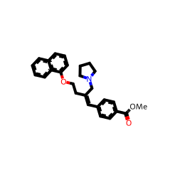 COC(=O)c1ccc(C=C(CCOc2cccc3ccccc23)CN2CCCC2)cc1